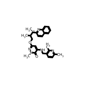 Cc1ccc(CNc2cc(OCC(C)[C@H](C)c3ccc4ccccc4n3)nn(C)c2=O)c(C)n1